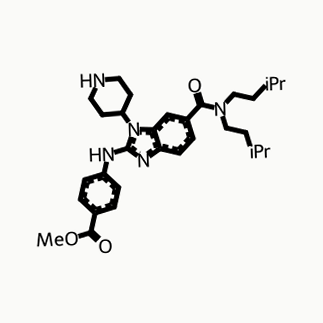 COC(=O)c1ccc(Nc2nc3ccc(C(=O)N(CCC(C)C)CCC(C)C)cc3n2C2CCNCC2)cc1